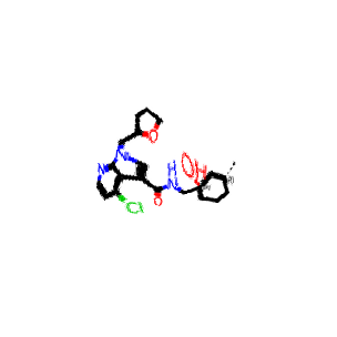 C[C@@H]1CCC[C@](O)(CNC(=O)c2cn(CC3CCCO3)c3nccc(Cl)c23)C1